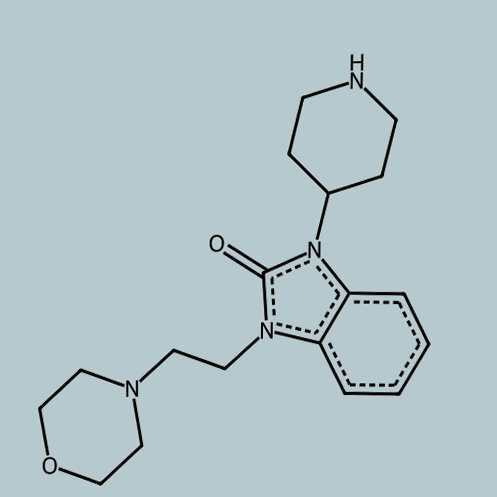 O=c1n(CCN2CCOCC2)c2ccccc2n1C1CCNCC1